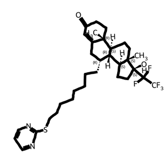 C[C@]12CCC(=O)C=C1C[C@@H](CCCCCCCCSc1ncccn1)[C@@H]1[C@@H]2CC[C@@]2(C)[C@H]1CC[C@@]2(O)C(F)(F)C(F)(F)F